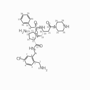 NCc1ccc(Cl)cc1CNC(=O)[C@@H]1C[C@H](N)CN1C[C@@H](CC(=O)N1CCNCC1)NS(=O)(=O)Cc1ccccc1